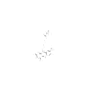 Cc1cc2nc3c(=O)[nH]c(=O)nc-3n(CCCCCCC(=O)NO)c2cc1N(C)C